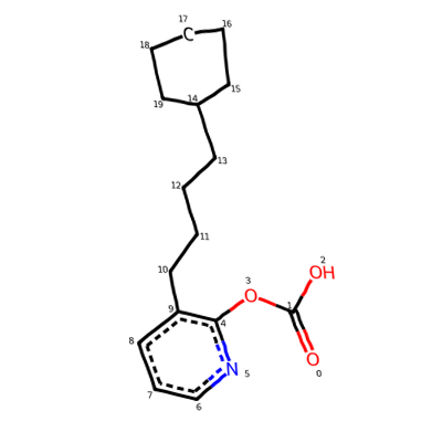 O=C(O)Oc1ncccc1CCCCC1CCCCC1